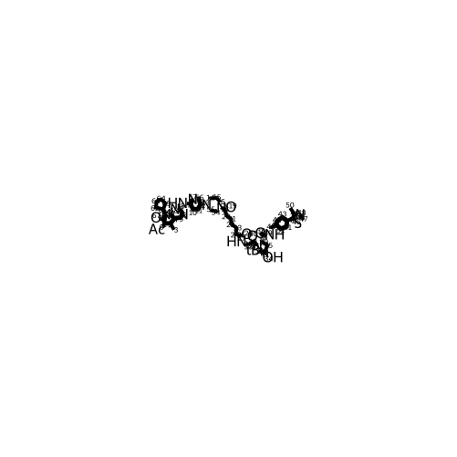 CC(=O)c1c(C)c2cnc(Nc3ccc(N4CCCN(C(=O)CCCCCC(=O)NC(C(=O)N5C[C@H](O)C[C@H]5C(=O)NCc5ccc(-c6scnc6C)cc5)C(C)(C)C)CC4)cn3)nc2n(C2CCCC2)c1=O